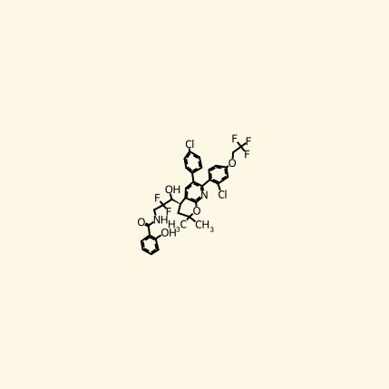 CC1(C)C[C@@H](C(O)C(F)(F)CNC(=O)c2ccccc2O)c2cc(-c3ccc(Cl)cc3)c(-c3ccc(OCC(F)(F)F)cc3Cl)nc2O1